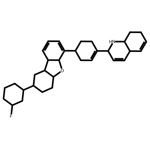 FC1CCCC(C2CCC3OC4C(C5CC=C(C6C=CC7C=CCCC7N6)CC5)=CC=CC4C3C2)C1